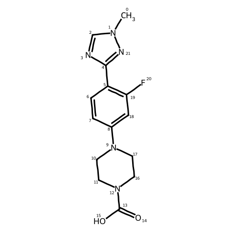 Cn1cnc(-c2ccc(N3CCN(C(=O)O)CC3)cc2F)n1